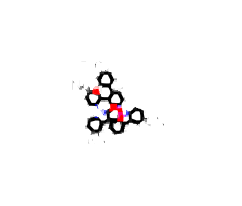 N#Cc1ccc(-n2c3ccccc3c3cc(C#N)ccc32)c(-c2cc(-n3c4ccccc4c4cc(C#N)ccc43)ccc2-c2ccc(C(F)(F)F)cc2C#N)c1